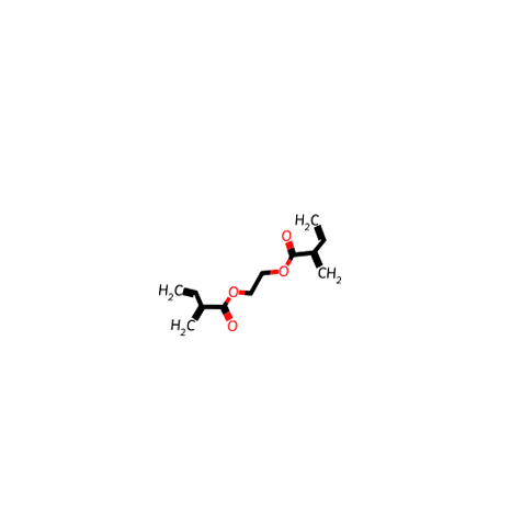 C=CC(=C)C(=O)OCCOC(=O)C(=C)C=C